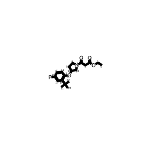 CCOC(=O)CC(=O)N1CCC(Oc2ccc(F)cc2C(C)(C)C)C1